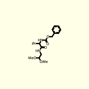 COC(CNC(=O)C(NC(=O)OCc1ccccc1)C(C)C)OC